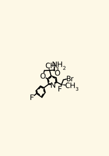 C[C@](F)(CBr)c1cc2c(c(-c3ccc(F)cc3)n1)OC[C@]2(C)C(N)=O